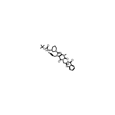 CC#CCn1c(N2CCCC(NC(=O)OC(C)(C)C)C2)nc2c1c(=O)n(Cc1nc3ccccc3c(=O)[nH]1)c(=O)n2C